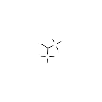 F[Si](F)(F)C(Cl)[Si](F)(F)F